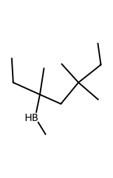 CBC(C)(CC)CC(C)(C)CC